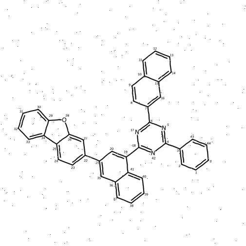 c1ccc(-c2nc(-c3ccc4ccccc4c3)nc(-c3cc(-c4ccc5c(c4)oc4ccccc45)cc4ccccc34)n2)cc1